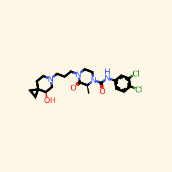 C[C@H]1C(=O)N(CCCN2CCC3(CC3)[C@H](O)C2)CCN1C(=O)Nc1ccc(Cl)c(Cl)c1